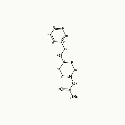 CC(C)(C)C(=O)ON1CCC(OCc2ccccc2)CC1